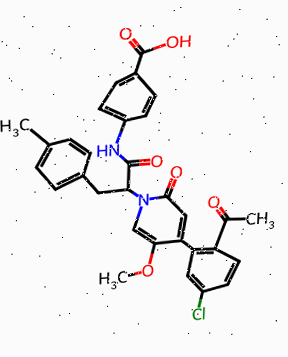 COc1cn(C(Cc2ccc(C)cc2)C(=O)Nc2ccc(C(=O)O)cc2)c(=O)cc1-c1cc(Cl)ccc1C(C)=O